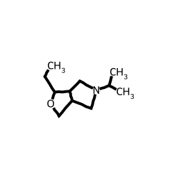 CCC1OCC2CN(C(C)C)CC21